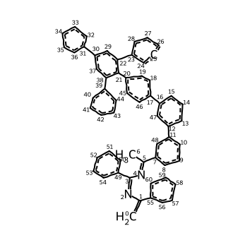 C=C(/N=C(\N=C(/C)c1cccc(-c2cccc(-c3ccc(-c4c(-c5ccccc5)cc(-c5ccccc5)cc4-c4ccccc4)cc3)c2)c1)c1ccccc1)c1ccccc1